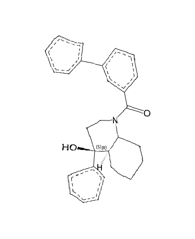 O=C(c1cccc(-c2ccccc2)c1)N1CC[C@@](O)(c2ccccc2)[C@@H]2CCCCC21